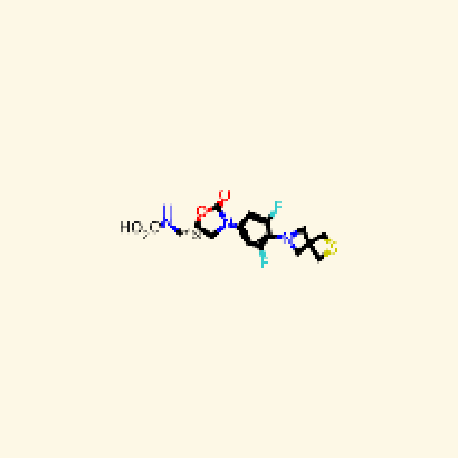 O=C(O)NC[C@H]1CN(c2cc(F)c(N3CC4(CSC4)C3)c(F)c2)C(=O)O1